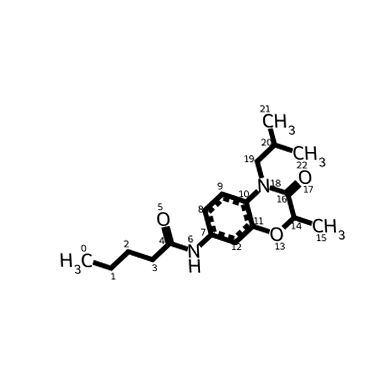 CCCCC(=O)Nc1ccc2c(c1)OC(C)C(=O)N2CC(C)C